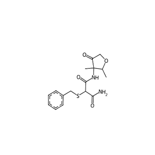 CC1OCC(=O)C1(C)NC(=O)C(SCc1ccccc1)C(N)=O